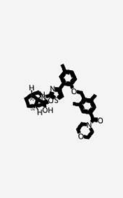 Cc1ccc(OCc2c(C)cc(C(=O)N3CCOCC3)cc2C)c(-c2csc(N3C[C@H]4CC[C@@H](C3)[C@H]4C(=O)O)n2)c1